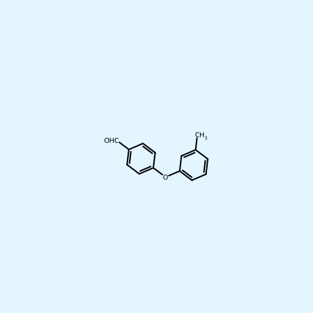 Cc1cccc(Oc2ccc(C=O)cc2)c1